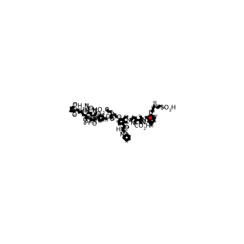 Cc1c(-c2ccc(N3CCc4c(OCCN(CCC(=O)O)C(=O)OCc5ccc(N(C(=O)[C@@H](NC(=O)CCCCCN6C(=O)C=CC6=O)C(C)C)[C@@H](CCCNC(N)=O)C(N)=O)cc5)ccc(C(=O)Nc5nc6ccccc6s5)c4C3)nc2C(=O)O)cnn1CC12CC3(C)CC(C)(C1)CC(OCCN(C)CCS(=O)(=O)O)(C3)C2